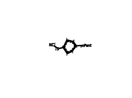 [CH2]CCCCc1ccc(SC#N)cc1